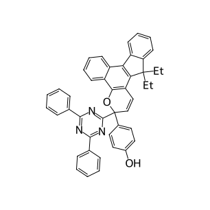 CCC1(CC)c2ccccc2-c2c1c1c(c3ccccc23)OC(c2ccc(O)cc2)(c2nc(-c3ccccc3)nc(-c3ccccc3)n2)C=C1